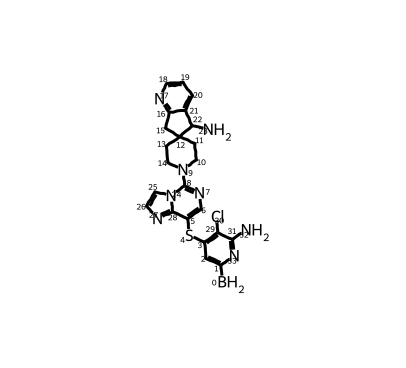 Bc1cc(Sc2cnc(N3CCC4(CC3)Cc3ncccc3C4N)n3ccnc23)c(Cl)c(N)n1